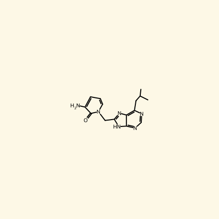 CC(C)Cc1ncnc2[nH]c(Cn3cccc(N)c3=O)nc12